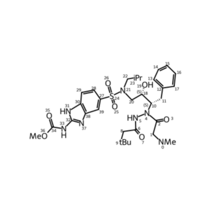 CNCC(=O)N(NC(=O)CC(C)(C)C)[C@@H](Cc1ccccc1)[C@@H](O)CN(CC(C)C)S(=O)(=O)c1ccc2[nH]c(NC(=O)OC)nc2c1